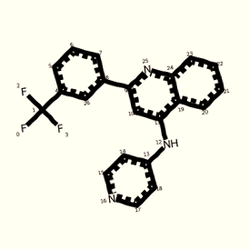 FC(F)(F)c1cccc(-c2cc(Nc3ccncc3)c3ccccc3n2)c1